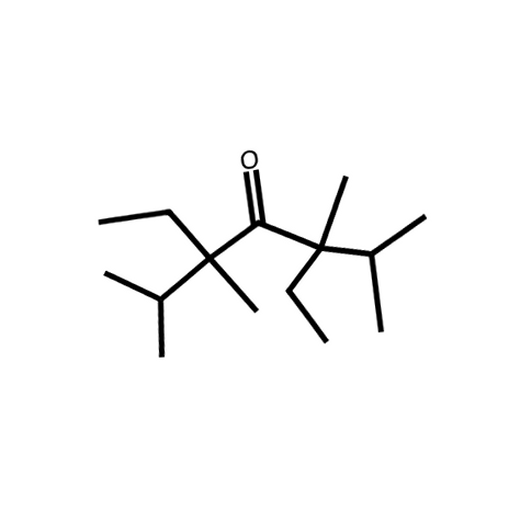 CCC(C)(C(=O)C(C)(CC)C(C)C)C(C)C